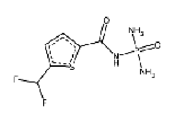 NP(N)(=O)NC(=O)c1ccc(C(F)F)s1